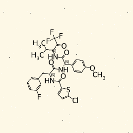 COc1ccc([C@H](NC(=O)[C@H](Cc2cccc(F)c2)NC(=O)c2ccc(Cl)s2)C(=O)N[C@H](C(=O)C(F)(F)F)C(C)C)cc1